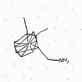 C[C]12[CH]3[CH]4[C]5(CN)[C]1(C)[Fe]34251678[CH]2[CH]1[CH]6[CH]7[CH]28